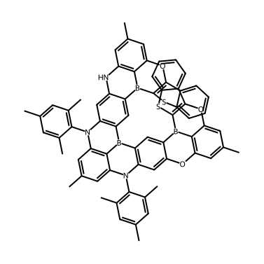 Cc1cc(C)c(N2c3cc4c(cc3B3c5cc6c(cc5N(c5c(C)cc(C)cc5C)c5cc(C)cc2c53)Oc2cc(C)cc3c2B6c2sc5ccccc5c2O3)B2c3sc5ccccc5c3Oc3cc(C)cc(c32)N4)c(C)c1